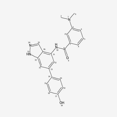 CN(C)c1cccc(C(=O)Nc2cc(-c3ccc(O)cc3)cc3[nH]ncc23)c1